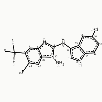 CC(F)(F)c1cc2nc(Nc3c[nH]c4ccc(Cl)cc34)n(N)c2cc1F